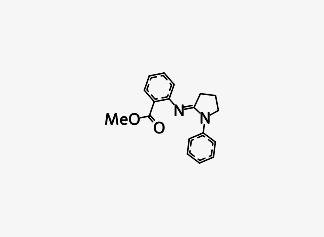 COC(=O)c1ccccc1/N=C1\CCCN1c1ccccc1